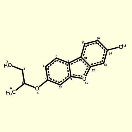 CC(CO)Oc1ccc2c(c1)oc1cc(Cl)ccc12